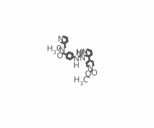 CCOC(=O)N1CC=C(c2ccc[nH]/c2=N\C(=N)Nc2ccc(C(=O)N(C)Cc3cccnc3)cc2)CC1